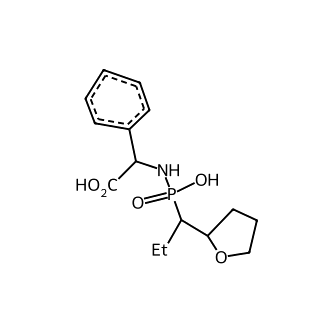 CCC(C1CCCO1)P(=O)(O)NC(C(=O)O)c1ccccc1